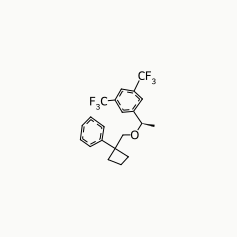 C[C@@H](OCC1(c2ccccc2)CCC1)c1cc(C(F)(F)F)cc(C(F)(F)F)c1